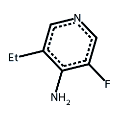 CCc1cncc(F)c1N